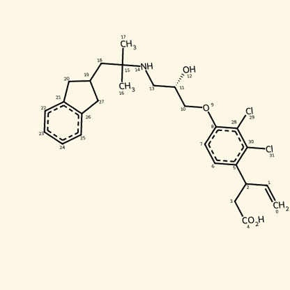 C=CC(CC(=O)O)c1ccc(OC[C@@H](O)CNC(C)(C)CC2Cc3ccccc3C2)c(Cl)c1Cl